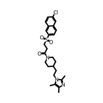 Cc1nc(C)n(CCC2CCN(C(=O)CCS(=O)(=O)c3ccc4cc(Cl)ccc4c3)CC2)c1C